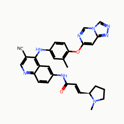 Cc1cc(Nc2c(C#N)cnc3ccc(NC(=O)/C=C/[C@H]4CCCN4C)cc23)ccc1Oc1cc2nncn2cn1